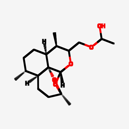 CC(O)OCC1O[C@@H]2O[C@]3(C)CC[C@H]4[C@H](C)CC[C@@H]([C@H]1C)[C@@]24OO3